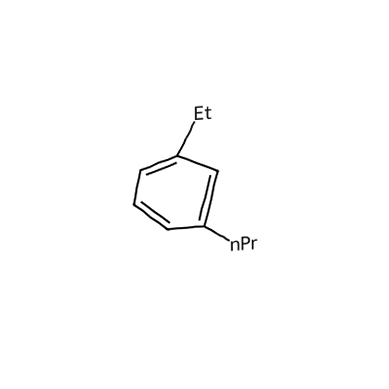 [CH2]CCc1cccc(CC)c1